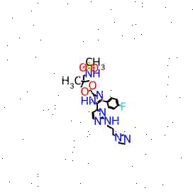 CC1(CNS(C)(=O)=O)COC(c2nc(-c3ccc(F)cc3)c(-c3ccnc(NCCCN4C=NCC4)n3)[nH]2)OC1